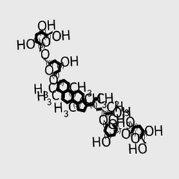 C=C[C@H](CC[C@@H](O[C@H]1C[C@@H](O)C[C@@H](CO[C@@H]2O[C@H](CO)[C@@H](O)C[C@H]2O)O1)C(C)(C)O)C1CC[C@@]2(C)C3CC=C4C(CC[C@H](O[C@H]5C[C@@H](O)C[C@@H](COC[C@@H]6O[C@H](CO)[C@@H](O)C[C@H]6O)O5)C4(C)C)[C@]3(C)CC[C@]12C